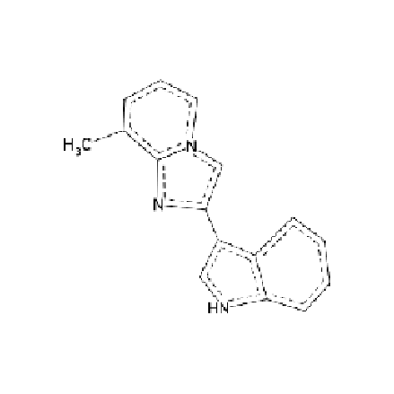 Cc1cccn2cc(-c3c[nH]c4ccccc34)nc12